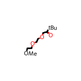 COCCOCCOCC(=O)C(C)(C)C